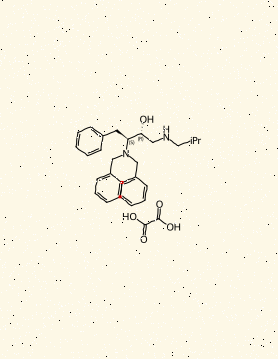 CC(C)CNC[C@@H](O)[C@H](Cc1ccccc1)N(Cc1ccccc1)Cc1ccccc1.O=C(O)C(=O)O